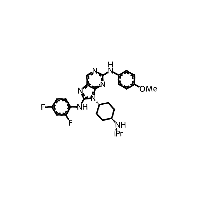 COc1ccc(Nc2ncc3nc(Nc4ccc(F)cc4F)n([C@H]4CC[C@H](NC(C)C)CC4)c3n2)cc1